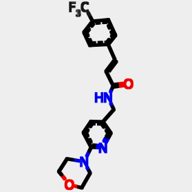 O=C(C=Cc1ccc(C(F)(F)F)cc1)NCc1ccc(N2CCOCC2)nc1